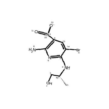 C[C@H](CO)Nc1nc(N)c([N+](=O)[O-])cc1Br